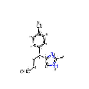 Cc1nc(C(CCC=O)c2ccc(C#N)cc2)c[nH]1